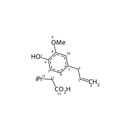 C=CCc1ccc(O)c(OC)c1.CC(C)CC(=O)O